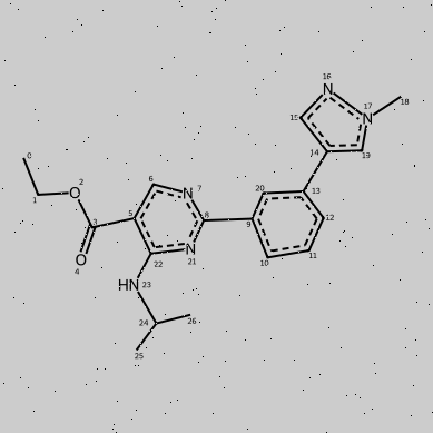 CCOC(=O)c1cnc(-c2cccc(-c3cnn(C)c3)c2)nc1NC(C)C